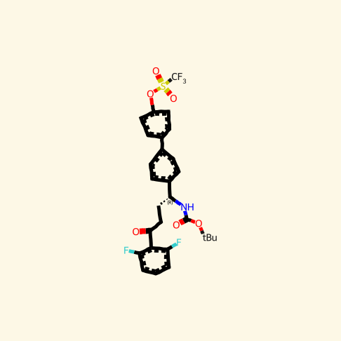 CC(C)(C)OC(=O)N[C@H](CCC(=O)c1c(F)cccc1F)c1ccc(-c2ccc(OS(=O)(=O)C(F)(F)F)cc2)cc1